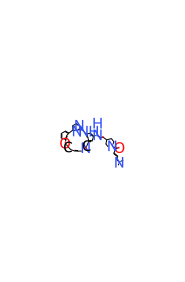 CN(C)C/C=C/C(=O)N1CCC(CCNc2cc3cc(c2)Nc2nccc(n2)-c2cccc(c2)OCC/C=C/CN(C)C3)CC1